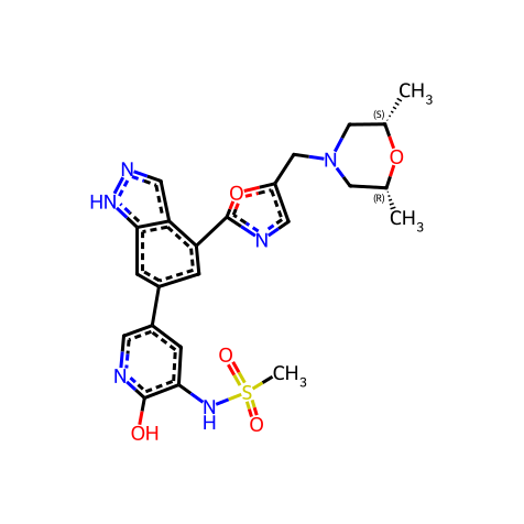 C[C@@H]1CN(Cc2cnc(-c3cc(-c4cnc(O)c(NS(C)(=O)=O)c4)cc4[nH]ncc34)o2)C[C@H](C)O1